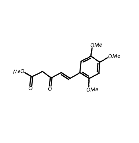 COC(=O)CC(=O)C=Cc1cc(OC)c(OC)cc1OC